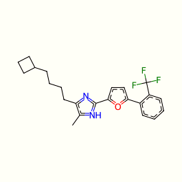 Cc1[nH]c(-c2ccc(-c3ccccc3C(F)(F)F)o2)nc1CCCCC1CCC1